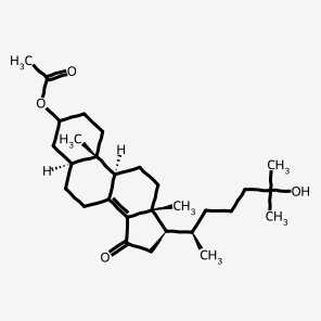 CC(=O)OC1CC[C@@]2(C)[C@@H](CCC3=C4C(=O)C[C@H]([C@H](C)CCCC(C)(C)O)[C@@]4(C)CC[C@@H]32)C1